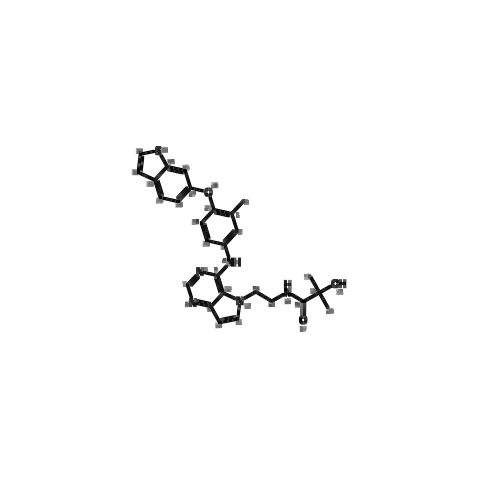 Cc1cc(Nc2ncnc3ccn(CCNC(=O)C(C)(C)O)c23)ccc1Oc1ccc2ccsc2c1